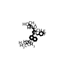 Cc1c(C(=O)NCC(C)(C)O)cc(-c2ccc([S+]([O-])NC(C)(C)C)c3ccccc23)n1CC1CCC(F)(F)CC1